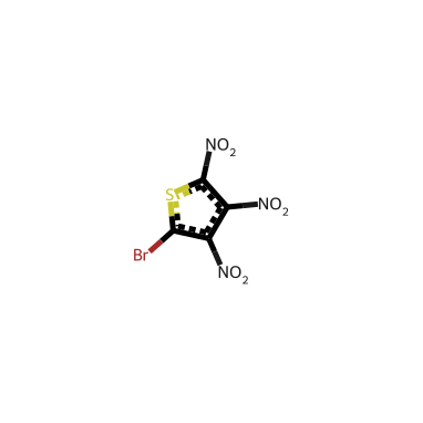 O=[N+]([O-])c1sc(Br)c([N+](=O)[O-])c1[N+](=O)[O-]